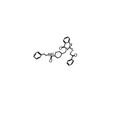 O=C(CSc1nc2ccccc2c(=O)n1CC1CCC(C(=O)NCCc2ccccc2)CC1)c1ccccc1